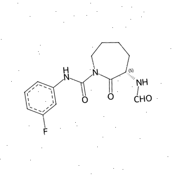 O=CN[C@H]1CCCCN(C(=O)Nc2cccc(F)c2)C1=O